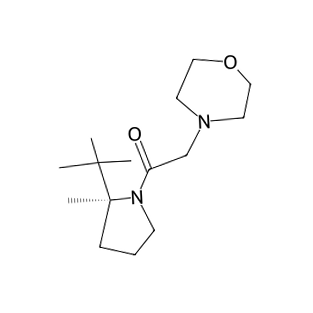 CC(C)(C)[C@]1(C)CCCN1C(=O)CN1CCOCC1